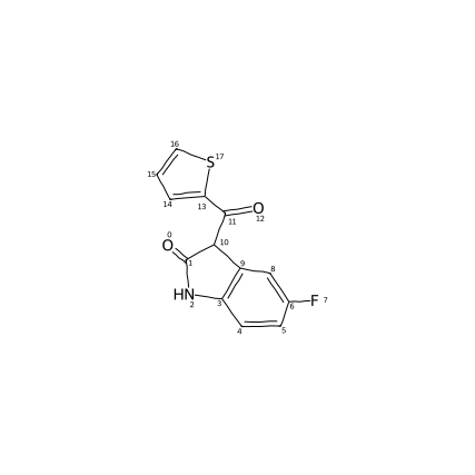 O=C1Nc2ccc(F)cc2C1C(=O)c1cccs1